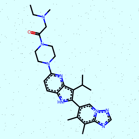 CCN(C)CC(=O)N1CCN(c2ccc3[nH]c(-c4cn5ncnc5c(C)c4C)c(C(C)C)c3n2)CC1